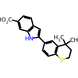 CC1(C)CCSc2ccc(-c3cc4ccc(C(=O)O)cc4[nH]3)cc21